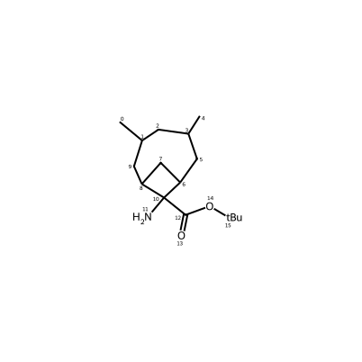 CC1CC(C)CC2CC(C1)C2(N)C(=O)OC(C)(C)C